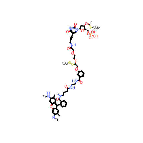 CC/N=c1/cc2oc3cc(NCC)c(C)cc3c(-c3ccccc3C(=O)N(C)CCCC(=O)NCCNC(=O)c3cccc(OCC(OCCOCC(=O)NCC#Cc4cn([C@H]5C[C@@H](O[C@H](C)SSC)[C@@H](COP(=O)(O)O)O5)c(=O)[nH]c4=O)SSC(C)(C)C)c3)c-2cc1C